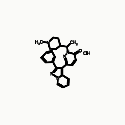 CC(C1CCN(C)CC1)n1nc(-c2c(-c3ccccc3)nn3ccccc23)ccc1=O.Cl